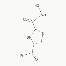 CC(C)C(=O)C1CSC(C(=O)NS)N1